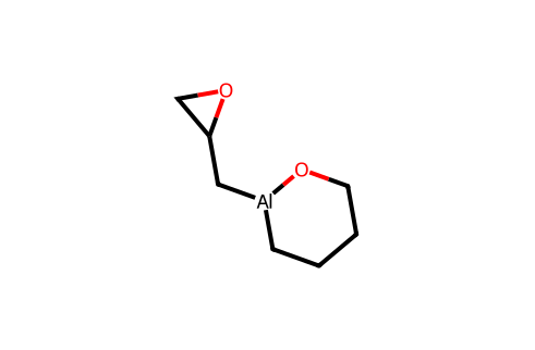 C1C[CH2][Al]([CH2]C2CO2)[O]C1